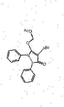 CCCCc1c(OCOC(C)=O)n(-c2ccccc2)n(-c2ccccc2)c1=O